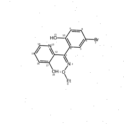 CCON=C(c1cc(Br)ccc1O)c1ncccc1O